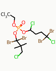 CC(C)(CCl)C(Br)(Br)OP(=O)(OCC(Cl)(Cl)Cl)OC(Cl)CCC(Cl)(Br)Br